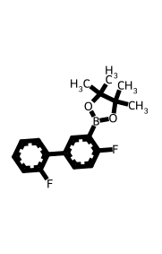 CC1(C)OB(c2cc(-c3ccccc3F)ccc2F)OC1(C)C